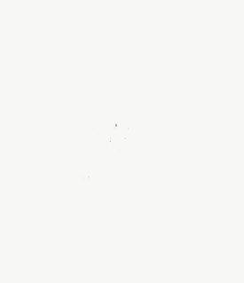 OCCOC(CCCl)(CCCl)C(CO)(C(O)CCCl)C(CCCl)(CCCl)OCCCl